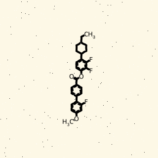 CCC1CCC(c2ccc(OC(=O)c3ccc(-c4ccc(OC)cc4F)cc3)c(F)c2F)CC1